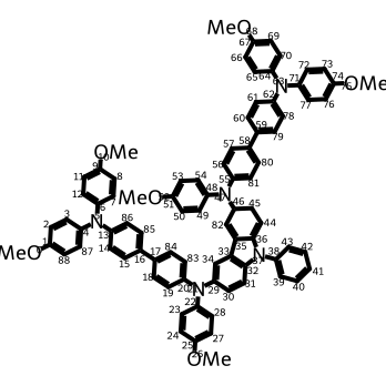 COc1ccc(N(c2ccc(OC)cc2)c2ccc(-c3ccc(N(c4ccc(OC)cc4)c4ccc5c(c4)c4c(n5-c5ccccc5)=CCC(N(c5ccc(OC)cc5)c5ccc(-c6ccc(N(c7ccc(OC)cc7)c7ccc(OC)cc7)cc6)cc5)C=4)cc3)cc2)cc1